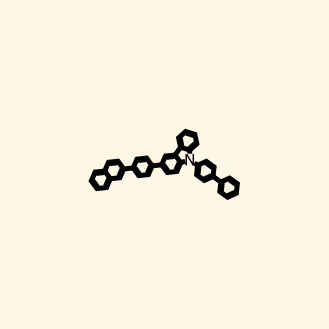 c1ccc(-c2ccc(-n3c4ccccc4c4cc(-c5ccc(-c6ccc7ccccc7c6)cc5)ccc43)cc2)cc1